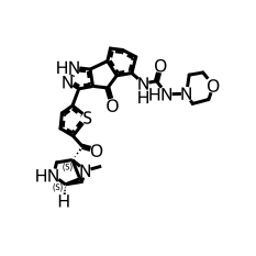 CN1C[C@@H]2C[C@@]1(C(=O)c1ccc(-c3n[nH]c4c3C(=O)c3c(NC(=O)NN5CCOCC5)cccc3-4)s1)CN2